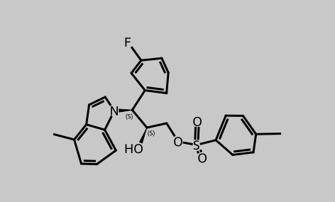 Cc1ccc(S(=O)(=O)OC[C@@H](O)[C@H](c2cccc(F)c2)n2ccc3c(C)cccc32)cc1